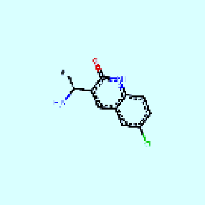 CC(C)[C@H](N)c1cc2cc(Cl)ccc2[nH]c1=O